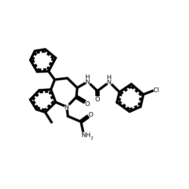 Cc1cccc2c1N(CC(N)=O)C(=O)C(NC(=O)Nc1cccc(Cl)c1)CC2c1ccccc1